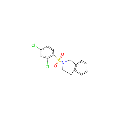 O=S(=O)(c1ccc(Cl)cc1Cl)N1CCc2ccccc2C1